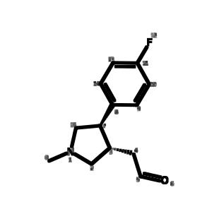 CN1C[C@@H](CC=O)[C@H](c2ccc(F)cc2)C1